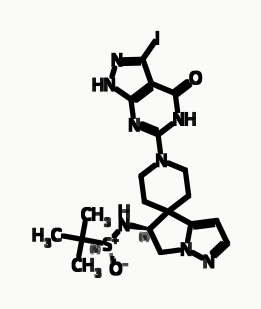 CC(C)(C)[S@@+]([O-])N[C@@H]1Cn2nccc2C12CCN(c1nc3[nH]nc(I)c3c(=O)[nH]1)CC2